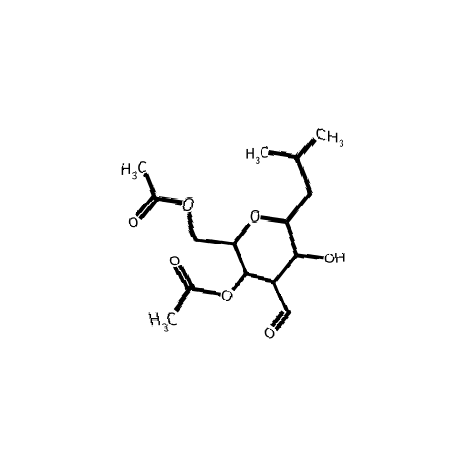 CC(=O)OCC1OC(CC(C)C)C(O)C(C=O)C1OC(C)=O